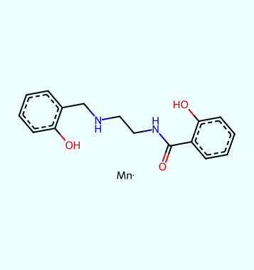 O=C(NCCNCc1ccccc1O)c1ccccc1O.[Mn]